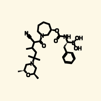 CC(CC(C)(C)N1C[C@@H](C)O[C@H](C)C1)C(C#N)C(=O)N1CCCC[C@@H](OC(=O)N[C@@H](Cc2ccccc2)B(O)O)C1